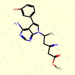 COC(=O)CC(=N)CC(C)n1cc(-c2cccc(O)c2)c2c(N)ncnc21